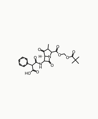 CC1C(=O)[C@@H]2C(NC(=O)C(C(=O)O)c3ccccc3)C(=O)N2C1C(=O)OCOC(=O)C(C)(C)C